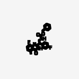 Cc1ccc(F)c2nc(C(CNC(=O)OCc3ccccc3)c3ccc(F)cc3)[nH]c(=O)c12